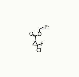 CC(C)COC(=O)[C@@H]1CC1(F)Cl